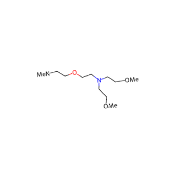 CNCCOCCN(CCOC)CCOC